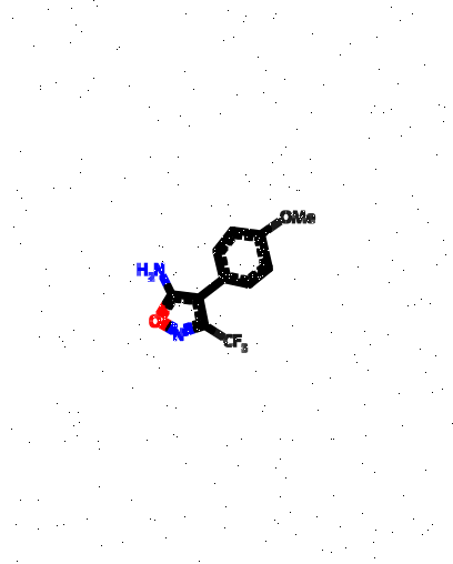 COc1ccc(-c2c(C(F)(F)F)noc2N)cc1